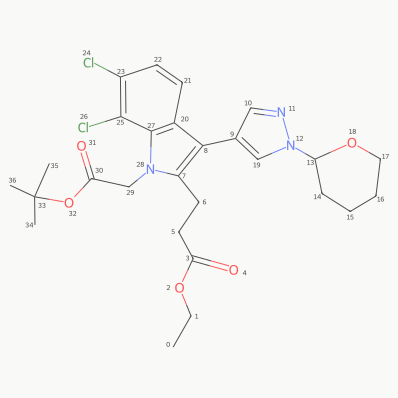 CCOC(=O)CCc1c(-c2cnn(C3CCCCO3)c2)c2ccc(Cl)c(Cl)c2n1CC(=O)OC(C)(C)C